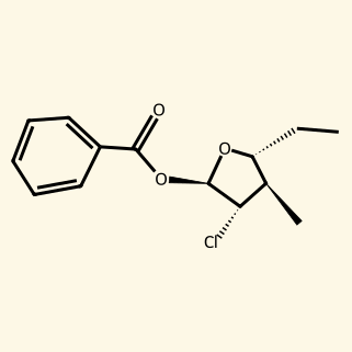 CC[C@H]1O[C@H](OC(=O)c2ccccc2)[C@@H](Cl)[C@@H]1C